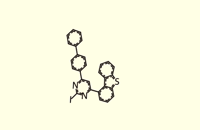 Ic1nc(-c2ccc(-c3ccccc3)cc2)cc(-c2cccc3sc4ccccc4c23)n1